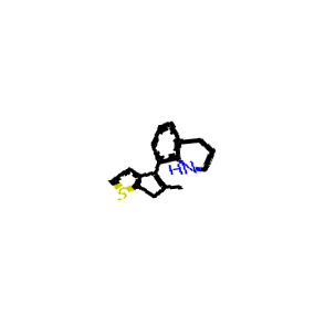 CC1=C(c2cccc3c2NCCC3)c2ccsc2C1